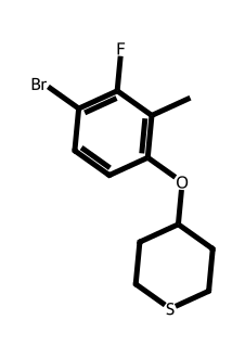 Cc1c(OC2CCSCC2)ccc(Br)c1F